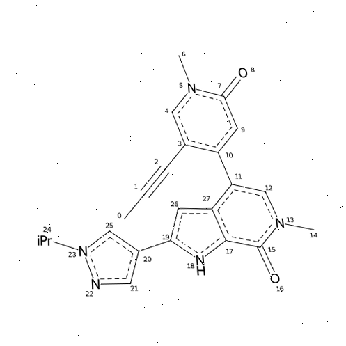 CC#Cc1cn(C)c(=O)cc1-c1cn(C)c(=O)c2[nH]c(-c3cnn(C(C)C)c3)cc12